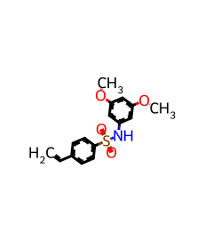 C=Cc1ccc(S(=O)(=O)Nc2cc(OC)cc(OC)c2)cc1